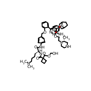 C[C@@H]1CNCCN1CCOc1cc(N2C3CCC2CN(c2cc(-c4ccccc4OCc4ccc(NC(=O)[C@H](CCCCN(C)C)NC(=O)C5(C(=O)OCO)CCC5)cc4)nnc2N)C3)ccn1